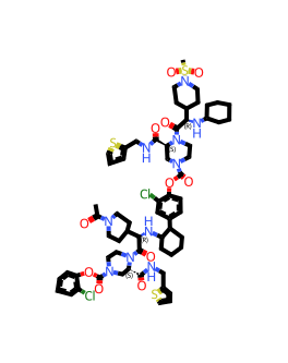 CC(=O)N1CCC([C@@H](NC2CCCCC2c2ccc(OC(=O)N3CCN(C(=O)[C@H](NC4CCCCC4)C4CCN(S(C)(=O)=O)CC4)[C@H](C(=O)NCc4cccs4)C3)c(Cl)c2)C(=O)N2CCN(C(=O)Oc3ccccc3Cl)C[C@H]2C(=O)NCc2cccs2)CC1